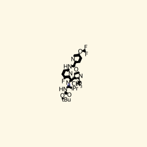 CC(C)/C(=N\[C@](C)(c1nc(NC(=O)c2ccc(OC(F)F)cn2)ccc1F)[C@H]1CCN=[SH]1=O)NC(=O)OC(C)(C)C